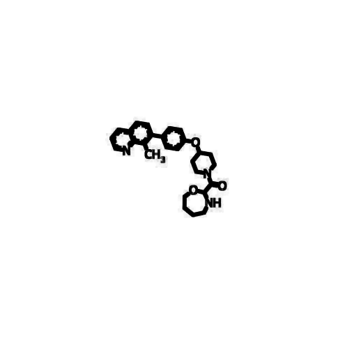 Cc1c(-c2ccc(OC3CCN(C(=O)C4NCCCCO4)CC3)cc2)ccc2cccnc12